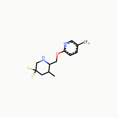 CC1CC(F)(F)CNC1COc1ccc(C(F)(F)F)cn1